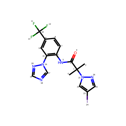 CC(C)(C(=O)Nc1ccc(C(F)(F)F)cc1-n1cncn1)n1cc(I)cn1